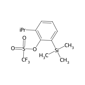 CC(C)c1cccc([Si](C)(C)C)c1OS(=O)(=O)C(F)(F)F